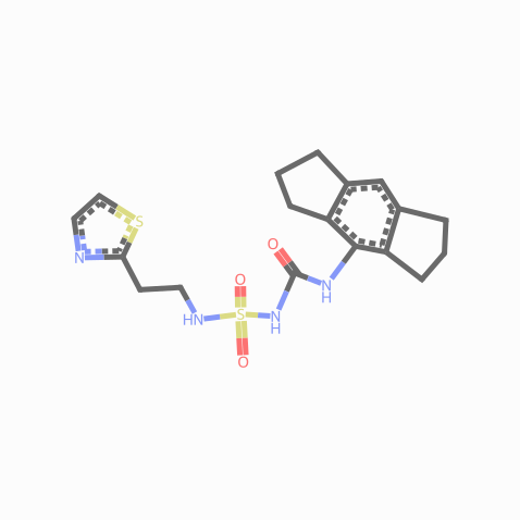 O=C(Nc1c2c(cc3c1CCC3)CCC2)NS(=O)(=O)NCCc1nccs1